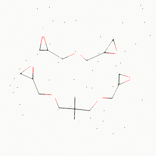 C(OCC1CO1)C1CO1.CC(C)(COCC1CO1)COCC1CO1